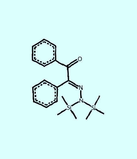 C[Si](C)(C)N(/N=C(/C(=O)c1ccccc1)c1ccccc1)[Si](C)(C)C